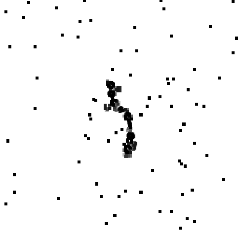 Cc1cc(-c2ccc3c(c2)[nH]c2ccncc23)cnc1O[C@H]1C[C@H](Oc2ccc(C#CCOc3ccc4c(c3)CN(C3CCC(=O)NC3=O)C4=O)nc2)C1